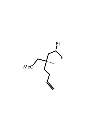 C=CCC[C@@](C)(COC)C[C@H](F)CC